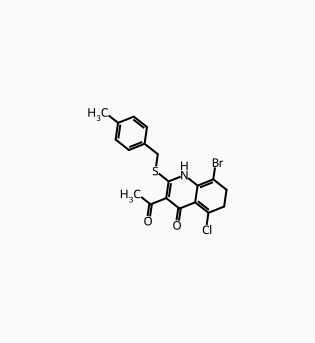 CC(=O)c1c(SCc2ccc(C)cc2)[nH]c2c(c1=O)=C(Cl)CCC=2Br